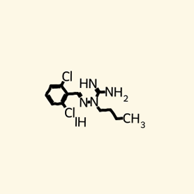 CCCCN(/N=C/c1c(Cl)cccc1Cl)C(=N)N.I